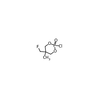 CC1(CF)COP(=O)(Cl)OC1